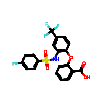 O=C(O)c1ccccc1Oc1ccc(C(F)(F)F)cc1NS(=O)(=O)c1ccc(F)cc1